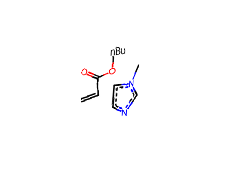 C=CC(=O)OCCCC.Cn1ccnc1